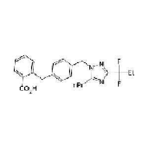 CCCc1nc(C(F)(F)CC)nn1Cc1ccc(Cc2ccccc2C(=O)O)cc1